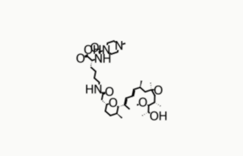 CO[C@H]([C@@H](C)[C@H]1O[C@]1(C)C[C@H](C)/C=C/C=C(\C)[C@H]1O[C@@H](CC(=O)NCCCC[C@@H](NC(=O)N2CCN(C)CC2)C(=O)O)CC[C@@H]1C)[C@@H](C)O